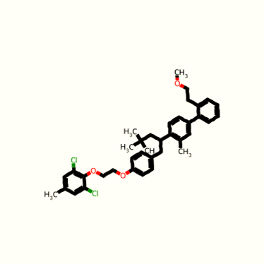 COCCc1ccccc1-c1ccc(C([CH]C(C)(C)C)Cc2ccc(OCCOc3c(Cl)cc(C)cc3Cl)cc2)c(C)c1